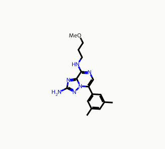 COCCCNc1ncc(-c2cc(C)cc(C)c2)n2nc(N)nc12